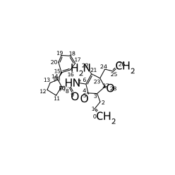 C=CCC1C(=O)C(NC(=O)[C@@H]2CCC[C@H]2c2ccccc2)=C(N)C(CC=C)C1=O